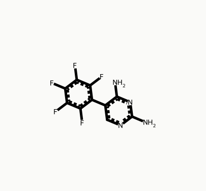 Nc1ncc(-c2c(F)c(F)c(F)c(F)c2F)c(N)n1